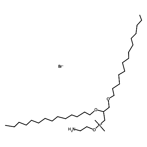 CCCCCCCCCCCCCCOCC(C[N+](C)(C)OCCN)OCCCCCCCCCCCCCC.[Br-]